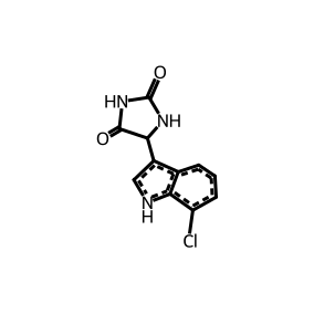 O=C1NC(=O)C(c2c[nH]c3c(Cl)cccc23)N1